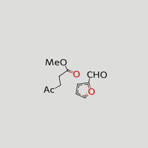 COC(=O)CCC(C)=O.O=Cc1ccco1